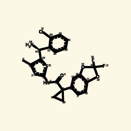 Cc1nc(NC(=O)C2(c3ccc4c(c3)OC(F)(F)O4)CC2)sc1[C@@H](N)c1ccccc1Cl